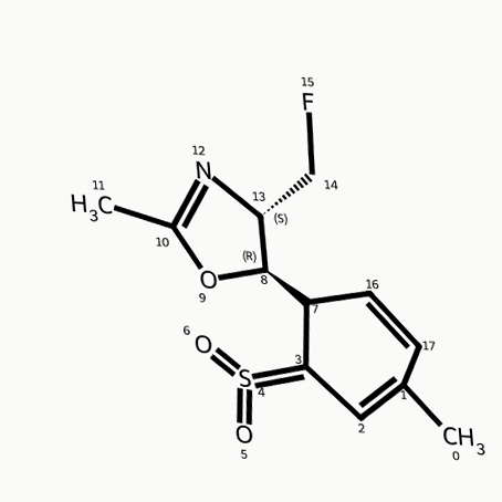 CC1=CC(=S(=O)=O)C([C@H]2OC(C)=N[C@@H]2CF)C=C1